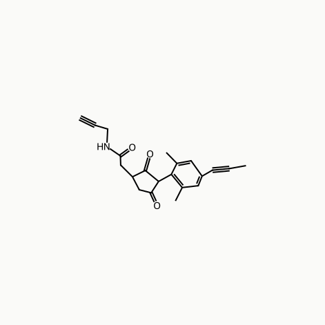 C#CCNC(=O)CC1CC(=O)C(c2c(C)cc(C#CC)cc2C)C1=O